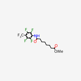 COC(=O)CCCCCCC(=O)Nc1c(F)c(F)c(C(F)(F)F)c(F)c1F